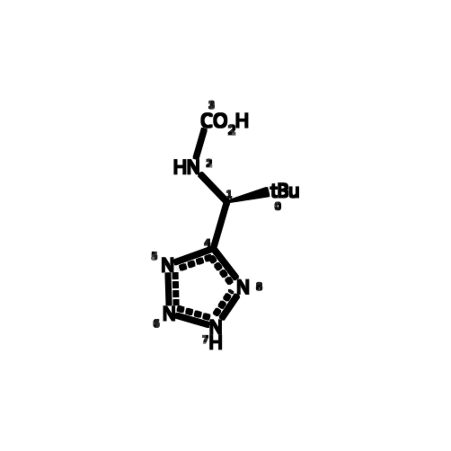 CC(C)(C)[C@H](NC(=O)O)c1nn[nH]n1